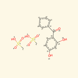 CS(=O)(=O)O.CS(=O)(=O)O.O=C(c1ccccc1)c1ccc(O)cc1O